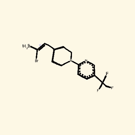 B/C(Br)=C/C1CCN(c2ccc(C(F)(F)F)cn2)CC1